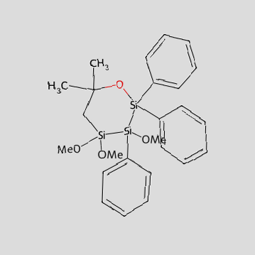 CO[Si]1(OC)CC(C)(C)O[Si](c2ccccc2)(c2ccccc2)[Si]1(OC)c1ccccc1